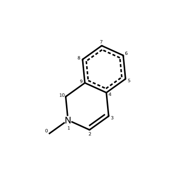 CN1C=Cc2ccccc2C1